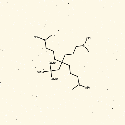 CCCN(C)CCCC(CCCN(C)CCC)(CCCN(C)CCC)C[Si](OC)(OC)OC